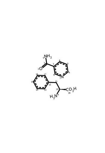 NC(=O)c1cccnc1.N[C@@H](Cc1ccccc1)C(=O)O